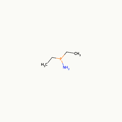 CCP(N)CC